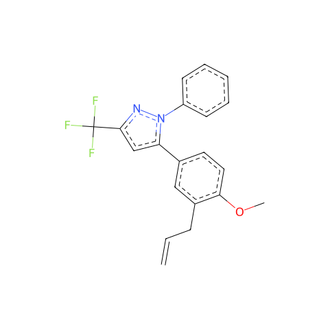 C=CCc1cc(-c2cc(C(F)(F)F)nn2-c2ccccc2)ccc1OC